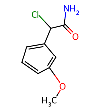 COc1cccc(C(Cl)C(N)=O)c1